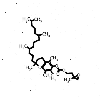 Cc1c(C)c2c(c(C)c1OC(=O)OCCC1(C)CO1)CCC(C)(CCCC(C)CCCC(C)CCCC(C)C)O2